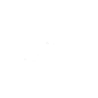 COc1ccc(NC(=O)OC2CCCCC2)cc1